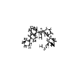 Cc1cc(-c2cccc(CNc3ncnc4cc(-c5ccccc5)ccc34)n2)ccn1